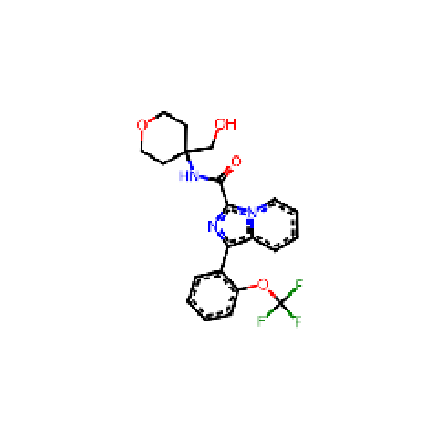 O=C(NC1(CO)CCOCC1)c1nc(-c2ccccc2OC(F)(F)F)c2ccccn12